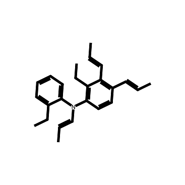 CC=Cc1ccc(N(C=CC)c2ccccc2CC)c(CC)c1C=CC